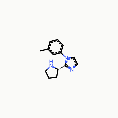 Cc1cccc(-n2ccnc2[C@@H]2CCCN2)c1